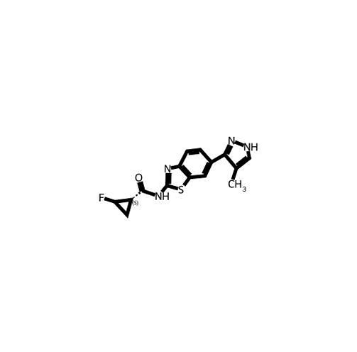 Cc1c[nH]nc1-c1ccc2nc(NC(=O)[C@@H]3CC3F)sc2c1